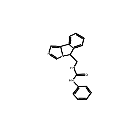 O=C(NCC1c2ccccc2-c2cncn21)Nc1ccccc1